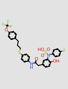 O=C(Cc1ccc(O)c(N(c2ccc(F)cc2)S(=O)(=O)O)c1)Nc1ccc(SCCCc2ccc(OC(F)(F)F)cc2)cc1